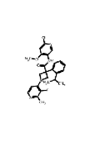 COc1cc(Cl)ncc1NC(=O)C1(c2ccccc2C(C)C)CN(c2ccnc(C)c2F)C1